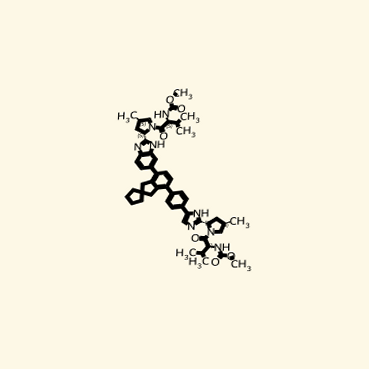 COC(=O)N[C@H](C(=O)N1C[C@@H](C)C[C@H]1c1ncc(-c2ccc(-c3ccc(-c4ccc5nc([C@@H]6C[C@H](C)CN6C(=O)[C@@H](NC(=O)OC)C(C)C)[nH]c5c4)c4c3CC3(CCCC3)C4)cc2)[nH]1)C(C)C